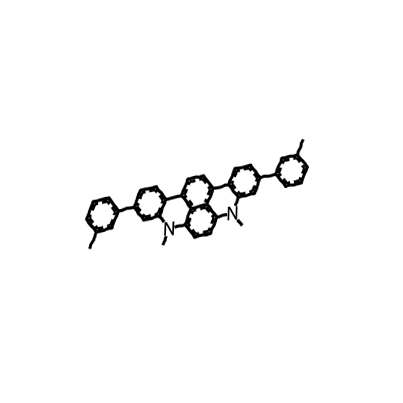 Cc1cccc(-c2ccc3c(c2)N(C)c2ccc4c5c(ccc-3c25)-c2ccc(-c3cccc(C)c3)cc2N4C)c1